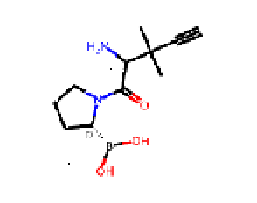 C#CC(C)(C)C(N)C(=O)N1CCC[C@H]1B(O)O